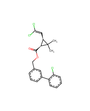 CC1(C)[C@H](C=C(Cl)Cl)[C@@H]1C(=O)OCc1cccc(-c2ccccc2Cl)c1